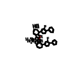 CCC1=[C]([Zr]([CH3])([CH3])(=[SiH2])[C]2=C(CC)C=C3C2=CC=CCC3c2ccc(-c3ccccc3)c(F)c2)C2=CC=CCC(c3ccc(-c4ccccc4)c(F)c3)C2=C1.Cl.Cl